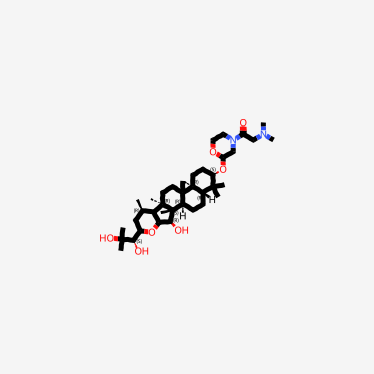 C[C@@H]1CC([C@H](O)C(C)(C)O)OC2C1[C@@]1(C)CCC34C[C@@]35CC[C@H](OC3CN(C(=O)CN(C)C)CCO3)C(C)(C)[C@@H]5CC[C@H]4[C@]1(C)[C@H]2O